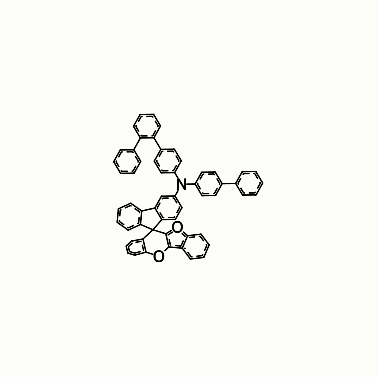 c1ccc(-c2ccc(N(c3ccc(-c4ccccc4-c4ccccc4)cc3)c3ccc4c(c3)-c3ccccc3C43c4ccccc4Oc4c3oc3ccccc43)cc2)cc1